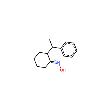 CC(c1ccccc1)C1CCCC/C1=N\O